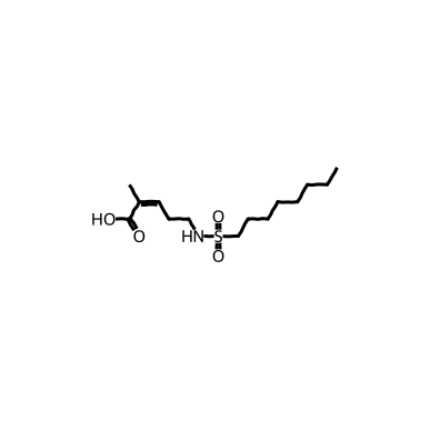 CCCCCCCCS(=O)(=O)NCCC=C(C)C(=O)O